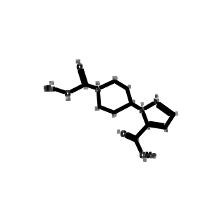 COC(=O)c1ccnn1C1CCN(C(=O)OC(C)(C)C)CC1